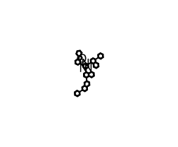 c1ccc(-c2ccc3ccc(-c4ccc(-c5nc(-c6ccc(-c7ccccc7)c7ccccc67)nc(-c6cccc7c6oc6ccccc67)n5)c5ccccc45)cc3c2)cc1